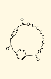 O=C1OCCCCCCOC(=O)c2ccc(cc2)C2OC2c2ccc1cc2